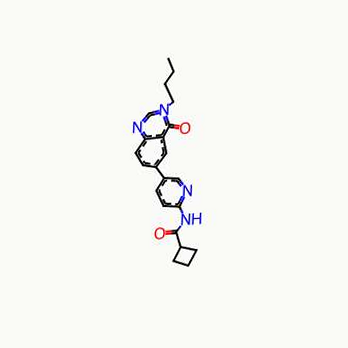 CCCCn1cnc2ccc(-c3ccc(NC(=O)C4CCC4)nc3)cc2c1=O